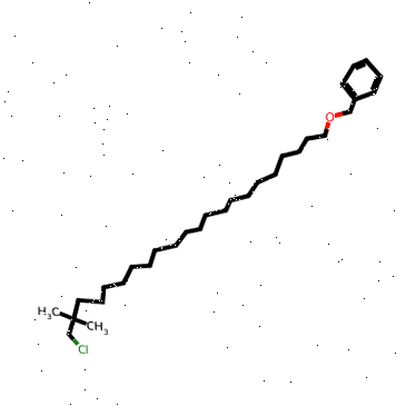 CC(C)(CCl)CCCCCCCCCCCCCCCCCCCCOCc1ccccc1